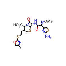 CON=C(C(=O)NC1C(=O)N2C(C(=O)O)=C(C=CSc3nc(C)co3)CSC12)c1csc(N)n1